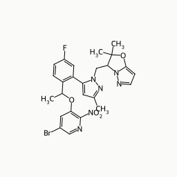 Cc1cc(-c2cc(F)ccc2C(C)Oc2cc(Br)cnc2[N+](=O)[O-])n(CC2n3nccc3OC2(C)C)n1